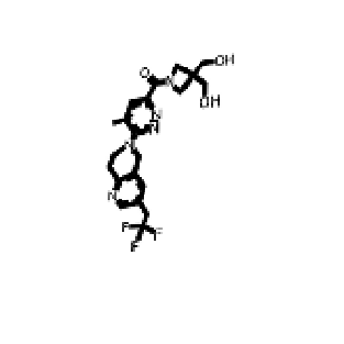 Cc1cc(C(=O)N2CC(CO)(CO)C2)nnc1N1CCc2ncc(CC(F)(F)F)cc2C1